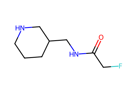 O=C(CF)NCC1CCCNC1